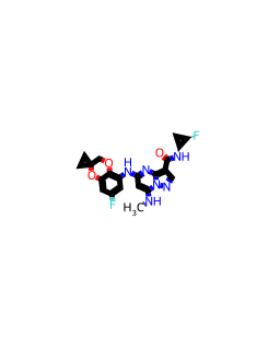 CNc1cc(Nc2cc(F)cc3c2OCC2(CC2)O3)nc2c(C(=O)N[C@@H]3C[C@@H]3F)cnn12